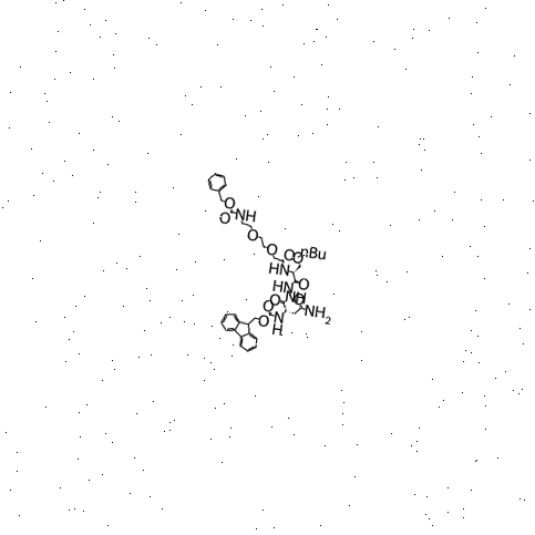 CCCCOC[C@H](NC(=O)COCCOCCNC(=O)OCc1ccccc1)C(=O)NNC(=O)[C@H](CC(N)=O)NC(=O)OCC1c2ccccc2-c2ccccc21